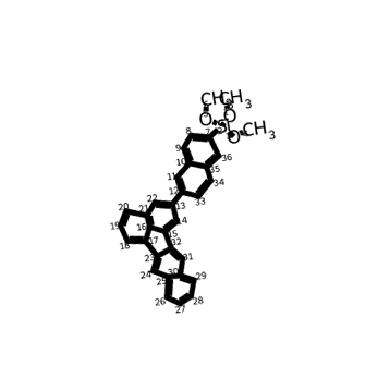 CO[Si](OC)(OC)c1ccc2cc(-c3cc4c5c(cccc5c3)-c3cc5ccccc5cc3-4)ccc2c1